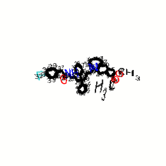 COc1cc2c(cc1OC)CC1(CCCCN1CCCC(CCCNC(=O)Cc1ccc(F)cc1)(c1ccccc1)c1ccccc1)CC2